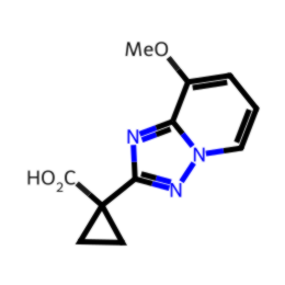 COc1cccn2nc(C3(C(=O)O)CC3)nc12